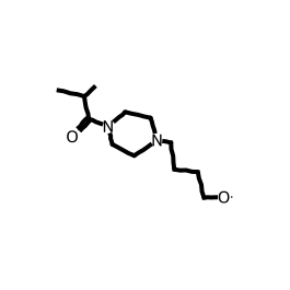 CC(C)C(=O)N1CCN(CCCC[O])CC1